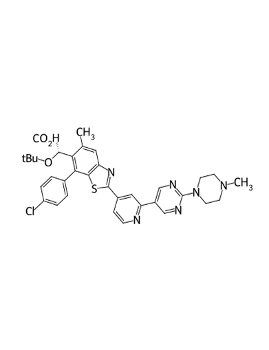 Cc1cc2nc(-c3ccnc(-c4cnc(N5CCN(C)CC5)nc4)c3)sc2c(-c2ccc(Cl)cc2)c1[C@H](OC(C)(C)C)C(=O)O